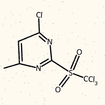 Cc1cc(Cl)nc(S(=O)(=O)C(Cl)(Cl)Cl)n1